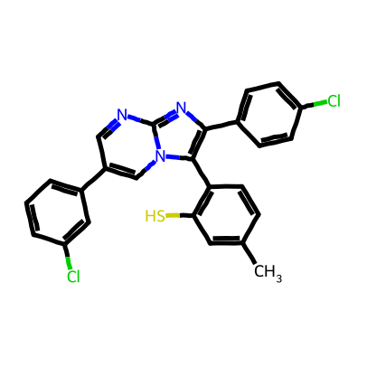 Cc1ccc(-c2c(-c3ccc(Cl)cc3)nc3ncc(-c4cccc(Cl)c4)cn23)c(S)c1